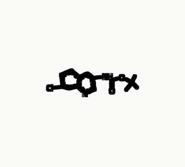 CC(C)(C)OC(=O)Nc1cnc2cc(Cl)ccc2c1